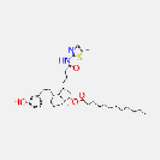 CCCCCCCCCCCC(=O)O[C@H]1C[C@@H](CCCC(=O)Nc2ncc(C)s2)C2C3CCc4cc(O)ccc4C3CC[C@@]21C